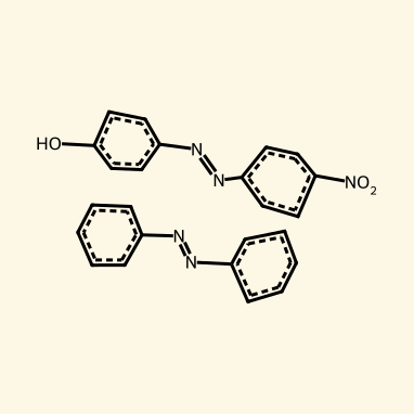 O=[N+]([O-])c1ccc(N=Nc2ccc(O)cc2)cc1.c1ccc(N=Nc2ccccc2)cc1